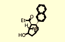 CCC(=O)[C@@H]1[C@@H]2NC(CC2O)C[C@H]1c1ccc2ccccc2c1